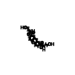 O=S(=O)(NCCO)c1ccc2c(c1)Cc1cc(S(=O)(=O)NCCO)ccc1O2